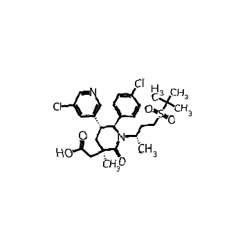 C[C@@H](CCS(=O)(=O)C(C)(C)C)N1C(=O)[C@@](C)(CC(=O)O)C[C@H](c2cncc(Cl)c2)[C@H]1c1ccc(Cl)cc1